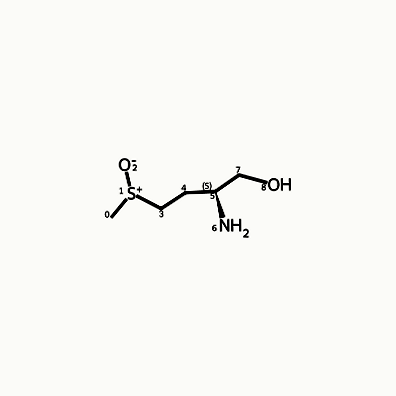 C[S+]([O-])CC[C@H](N)CO